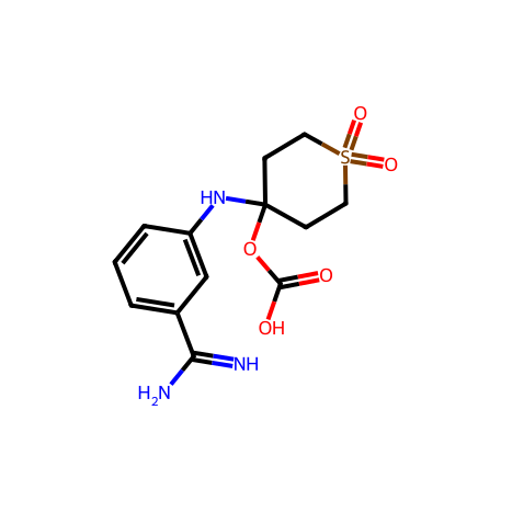 N=C(N)c1cccc(NC2(OC(=O)O)CCS(=O)(=O)CC2)c1